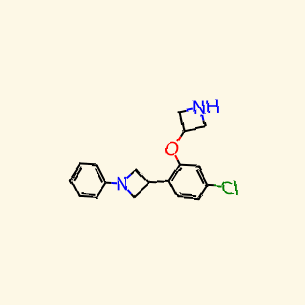 Clc1ccc(C2CN(c3ccccc3)C2)c(OC2CNC2)c1